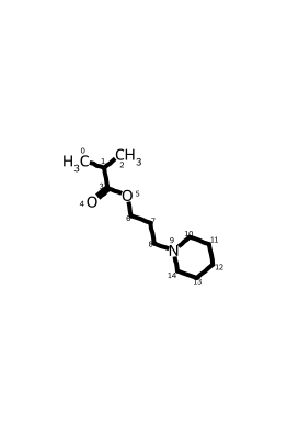 CC(C)C(=O)OCCCN1CCCCC1